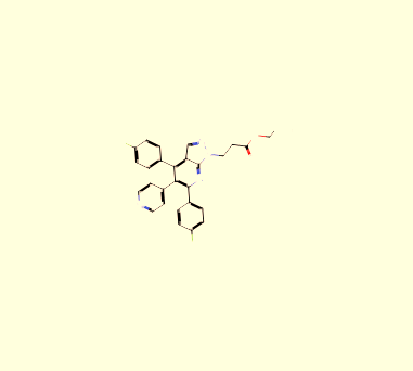 CCOC(=O)CCn1ncc2c(-c3ccc(F)cc3)c(-c3ccncc3)c(-c3ccc(F)cc3)nc21